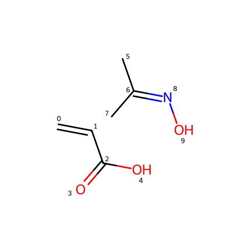 C=CC(=O)O.CC(C)=NO